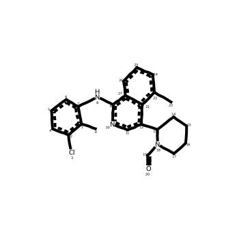 Cc1c(Cl)cccc1Nc1ncc(C2CCCCN2C=O)c2c(C)cccc12